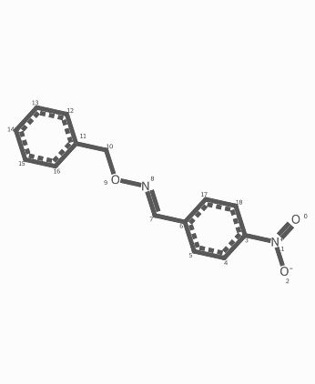 O=[N+]([O-])c1ccc(C=NOCc2ccccc2)cc1